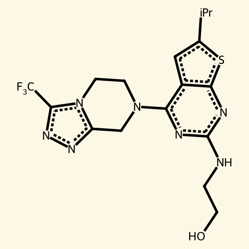 CC(C)c1cc2c(N3CCn4c(nnc4C(F)(F)F)C3)nc(NCCO)nc2s1